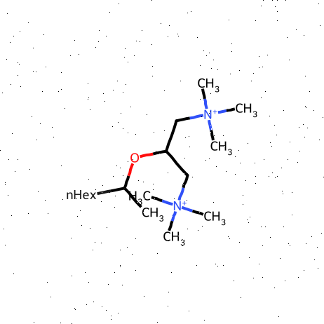 CCCCCCC(C)OC(C[N+](C)(C)C)C[N+](C)(C)C